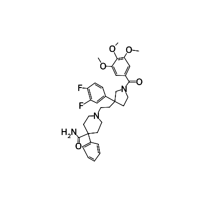 COc1cc(C(=O)N2CCC(CCN3CCC(C(N)=O)(c4ccccc4)CC3)(c3ccc(F)c(F)c3)C2)cc(OC)c1OC